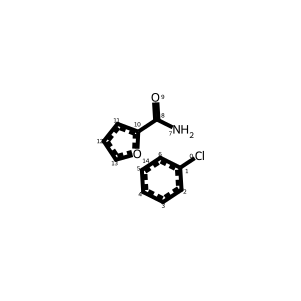 Clc1ccccc1.NC(=O)c1ccco1